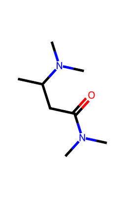 CC(CC(=O)N(C)C)N(C)C